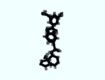 O=C(O[C@H]1CCCN2CCC[C@H]12)c1ccc2nc(-c3cc(Cl)cc(Cl)c3)oc2c1